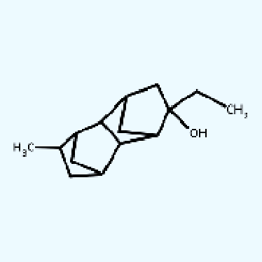 CCC1(O)CC2CC1C1C3CC(C)C(C3)C21